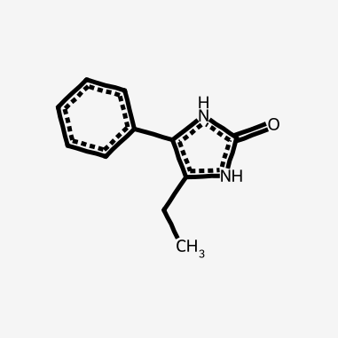 CCc1[nH]c(=O)[nH]c1-c1ccccc1